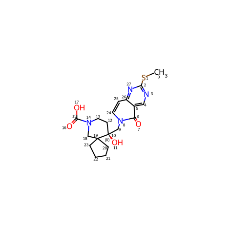 CSc1ncc2c(=O)n(C[C@@]3(O)CCN(C(=O)O)CC34CCCC4)ccc2n1